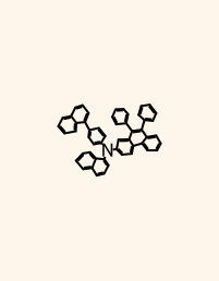 c1ccc(-c2c(-c3ccccc3)c3cc(N(c4ccc(-c5cccc6ccccc56)cc4)c4cccc5ccccc45)ccc3c3ccccc23)cc1